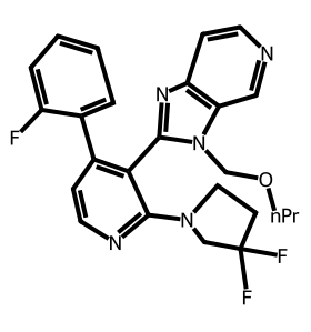 CCCOCn1c(-c2c(-c3ccccc3F)ccnc2N2CCC(F)(F)C2)nc2ccncc21